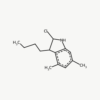 CCCCC1c2c(C)cc(C)cc2NC1Cl